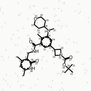 Cc1cc(C)c(CNC(=O)c2cc(C3CN(C(=O)OC(C)(C)C)C3)cc(N(C)C3CCOCC3)c2C)c(=O)[nH]1